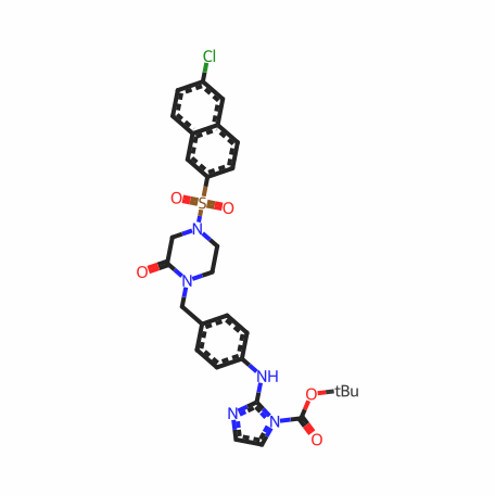 CC(C)(C)OC(=O)n1ccnc1Nc1ccc(CN2CCN(S(=O)(=O)c3ccc4cc(Cl)ccc4c3)CC2=O)cc1